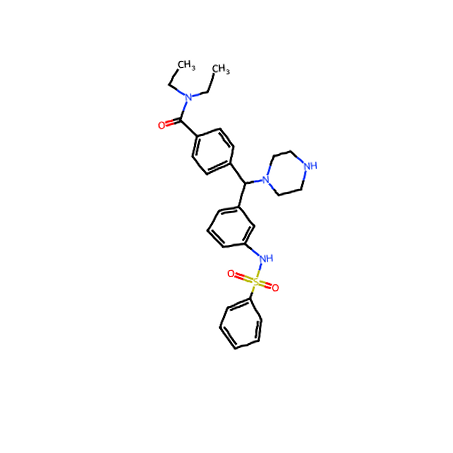 CCN(CC)C(=O)c1ccc(C(c2cccc(NS(=O)(=O)c3ccccc3)c2)N2CCNCC2)cc1